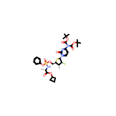 C[C@H]1[C@H](F)[C@H](n2ccc(N(C(=O)OC(C)(C)C)C(=O)OC(C)(C)C)nc2=O)S[C@@H]1COP(=O)(N[C@@H](C)C(=O)OC1CCC1)Oc1ccccc1